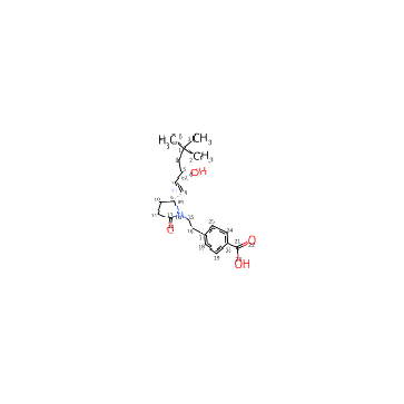 CC(C)(C)C[C@H](O)/C=C/[C@H]1CCC(=O)N1CCc1ccc(C(=O)O)cc1